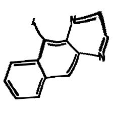 Ic1c2ccccc2cc2nccnc12